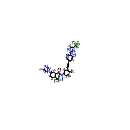 Cc1cn(-c2ccc(C(F)(F)F)c(C(=O)Nc3ccc(F)c(C#Cc4ccc(-c5ncc(C(F)(F)F)[nH]5)nc4)c3)c2)cn1